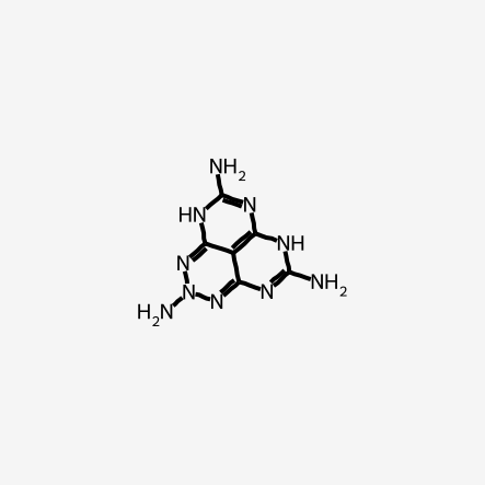 NC1=NC2=C3C(=NN(N)N=C3N1)N=C(N)N2